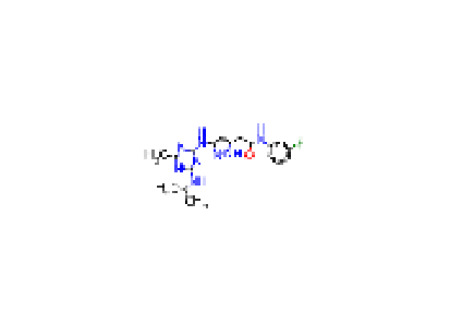 Cc1nc(Nc2cc(CC(=O)Nc3cccc(F)c3)[nH]n2)nc(NC(C)C)n1